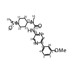 COc1cccc(-c2cnc(NC(=O)N(C)C3CCN([S+](C)[O-])CC3)cn2)c1